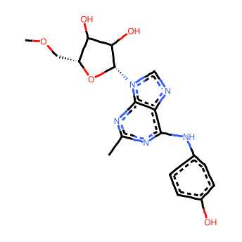 COC[C@H]1O[C@@H](n2cnc3c(Nc4ccc(O)cc4)nc(C)nc32)C(O)C1O